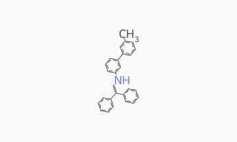 Cc1cccc(-c2cccc(NC=C(c3ccccc3)c3ccccc3)c2)c1